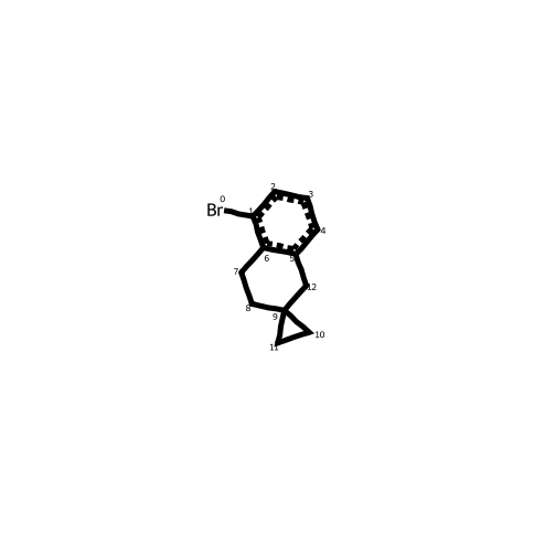 Brc1cccc2c1CCC1(CC1)C2